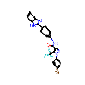 O=C(Nc1ccc(-c2nc3ccccc3[nH]2)cc1)c1cnn(-c2ccc(Br)cc2)c1C(F)(F)F